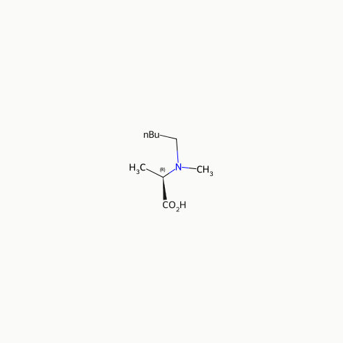 CCCCCN(C)[C@H](C)C(=O)O